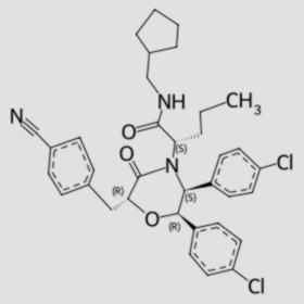 CCC[C@@H](C(=O)NCC1CCCC1)N1C(=O)[C@@H](Cc2ccc(C#N)cc2)O[C@H](c2ccc(Cl)cc2)[C@@H]1c1ccc(Cl)cc1